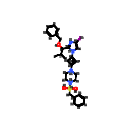 CC(C)C(OCc1ccccc1)c1nc(I)cn1C12CC(N3CCN(S(=O)(=O)Cc4ccccc4)CC3)(C1)C2